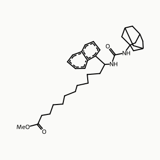 COC(=O)CCCCCCCCCCC(NC(=O)NC12CC3CC(CC(C3)C1)C2)c1cccc2ccccc12